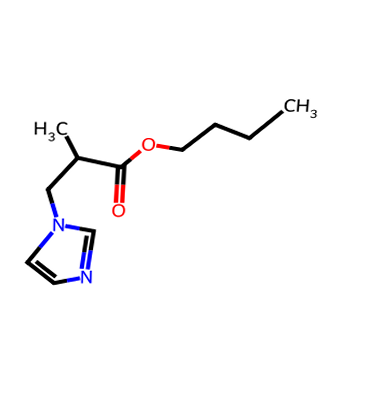 CCCCOC(=O)C(C)Cn1ccnc1